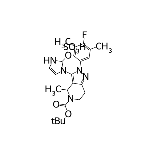 Cc1cc(-n2nc3c(c2N2C=CNC2OS(=O)(=O)O)[C@H](C)N(C(=O)OC(C)(C)C)CC3)cc(C)c1F